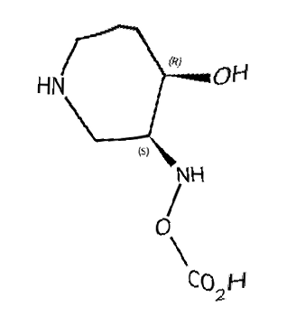 O=C(O)ON[C@H]1CNCC[C@H]1O